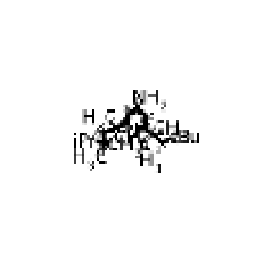 CC(C)C(C)(C)CC(C)(C)c1cc(N)cc(C(C)(C)CC(C)(C)C)n1